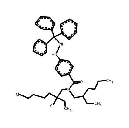 CCCCC(CC)CN(CC(Cl)(CC)CCCCCl)C(=O)c1ccc(NNC(c2ccccc2)(c2ccccc2)c2ccccc2)cc1